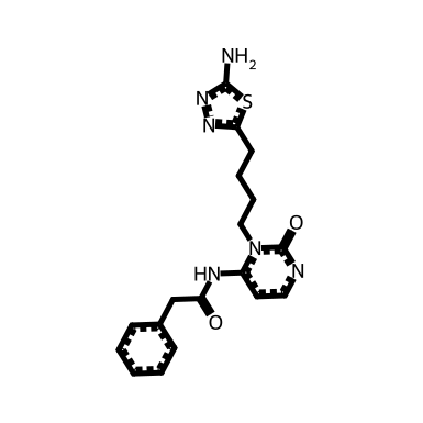 Nc1nnc(CCCCn2c(NC(=O)Cc3ccccc3)ccnc2=O)s1